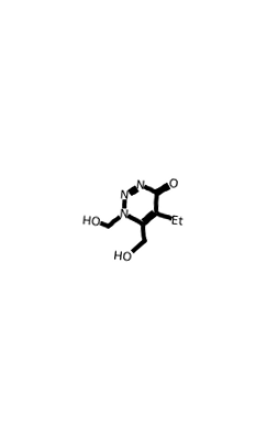 CCc1c(CO)n(CO)nnc1=O